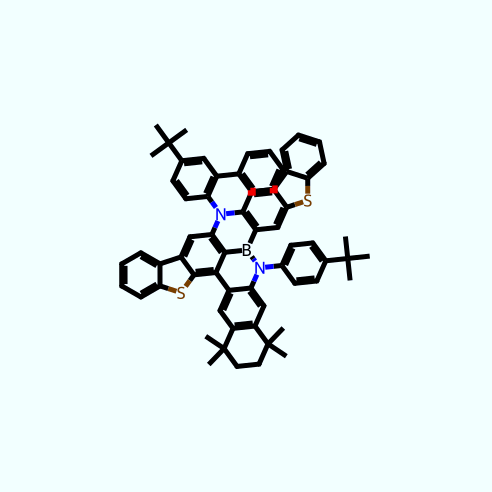 CC(C)(C)c1ccc(N2B3c4cc5sc6ccccc6c5cc4N(c4ccc(C(C)(C)C)cc4-c4ccccc4)c4cc5c(sc6ccccc65)c(c43)-c3cc4c(cc32)C(C)(C)CCC4(C)C)cc1